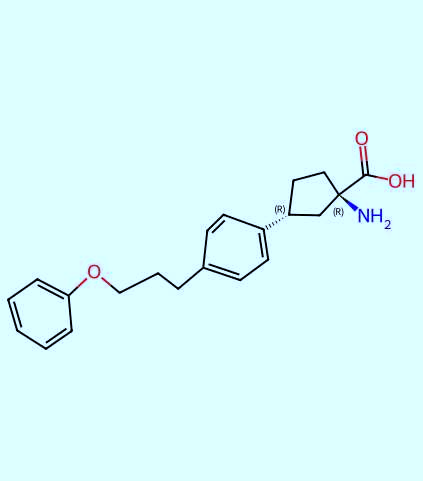 N[C@]1(C(=O)O)CC[C@@H](c2ccc(CCCOc3ccccc3)cc2)C1